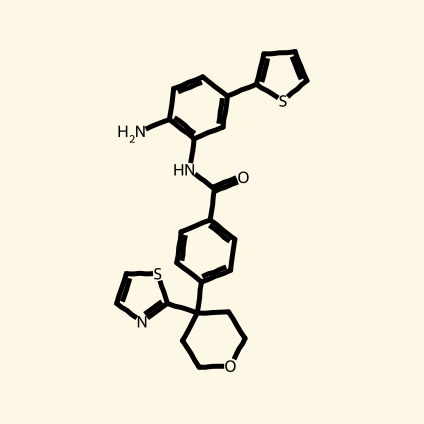 Nc1ccc(-c2cccs2)cc1NC(=O)c1ccc(C2(c3nccs3)CCOCC2)cc1